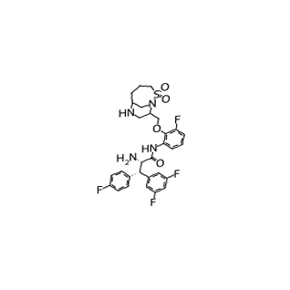 N[C@H](C(=O)Nc1cccc(F)c1OCC1CNC2CCCS(=O)(=O)N1C2)[C@@H](c1ccc(F)cc1)c1cc(F)cc(F)c1